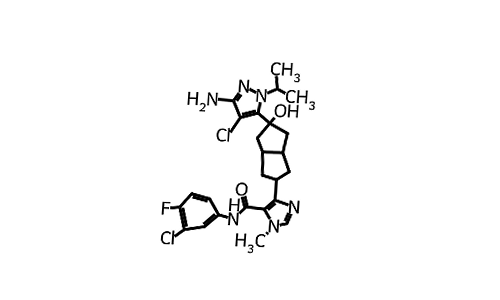 CC(C)n1nc(N)c(Cl)c1C1(O)CC2CC(c3ncn(C)c3C(=O)Nc3ccc(F)c(Cl)c3)CC2C1